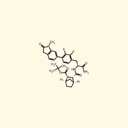 CN1C(=O)Cc2ccc(-c3ccc(C[C@H](NC(=O)[C@@H]4[C@H]5CC[C@H](C5)N4C(=O)OC(C)(C)C)C(N)=O)c(F)c3F)cc21